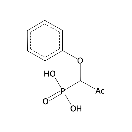 CC(=O)C(Oc1ccccc1)P(=O)(O)O